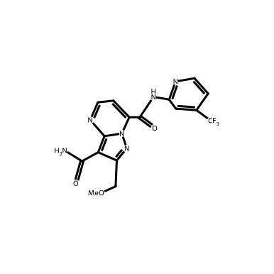 COCc1nn2c(C(=O)Nc3cc(C(F)(F)F)ccn3)ccnc2c1C(N)=O